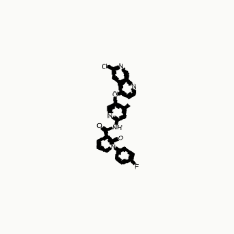 Cc1cc(NC(=O)c2cccn(-c3ccc(F)cc3)c2=O)ncc1Oc1ccnc2cnc(Cl)cc12